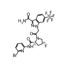 NC(=O)c1nn(CC(=O)N2C[C@H](F)C[C@H]2C(=O)Nc2cccc(Br)n2)c2cc(S(F)(F)(F)(F)F)ccc12